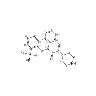 O=c1c(C2CCNCC2)cc2nccnc2n1Cc1ccncc1C(F)(F)F